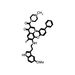 COc1ccc2[nH]cc(CCNc3c(F)cc4c(=O)c(C(=O)N5CCN(C)CC5)cn5c4c3Oc3ccc(-c4ccccc4)cc3-5)c2c1